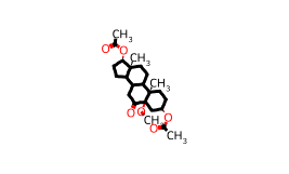 CO[C@]12C[C@@H](OC(C)=O)CC[C@]1(C)C1CC[C@@]3(C)C(CC[C@@H]3OC(C)=O)C1CC2=O